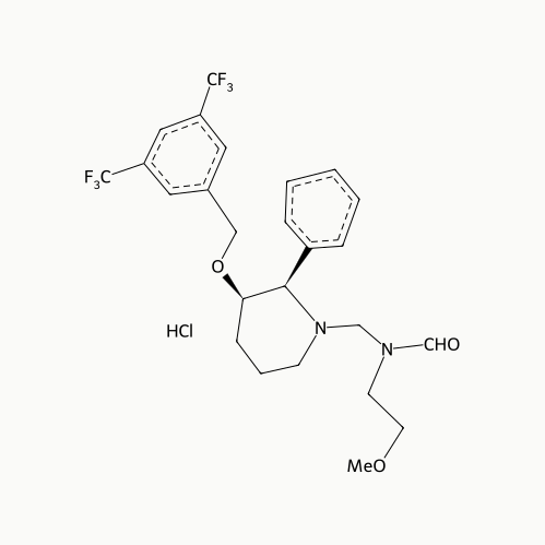 COCCN(C=O)CN1CCC[C@@H](OCc2cc(C(F)(F)F)cc(C(F)(F)F)c2)[C@H]1c1ccccc1.Cl